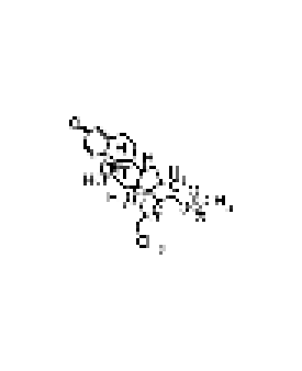 CCC(=O)O[C@]1(C(=O)COS(C)(=O)=O)[C@@H](C)C[C@H]2[C@@H]3CCC4=CC(=O)C=C[C@]4(C)[C@@]3(F)[C@@H](O)C[C@@]21C